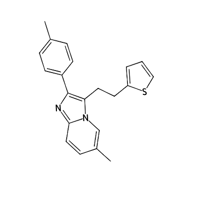 Cc1ccc(-c2nc3ccc(C)cn3c2CCc2cccs2)cc1